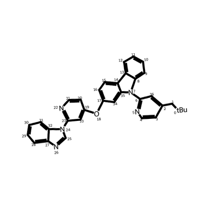 CC(C)(C)Cc1ccnc(-n2c3ccccc3c3ccc(Oc4ccnc(-n5cnc6ccccc65)c4)cc32)c1